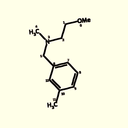 COCCN(C)Cc1cccc(C)c1